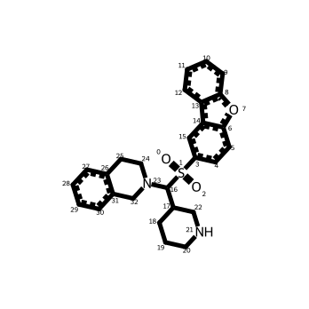 O=S(=O)(c1ccc2oc3ccccc3c2c1)C(C1CCCNC1)N1CCc2ccccc2C1